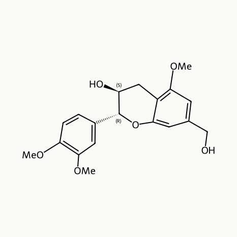 COc1ccc([C@H]2Oc3cc(CO)cc(OC)c3C[C@@H]2O)cc1OC